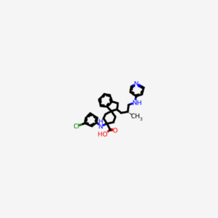 C[C@@H](CNc1ccncc1)CC1Cc2ccccc2C12CCC(Nc1cccc(Cl)c1)(C(=O)O)CC2